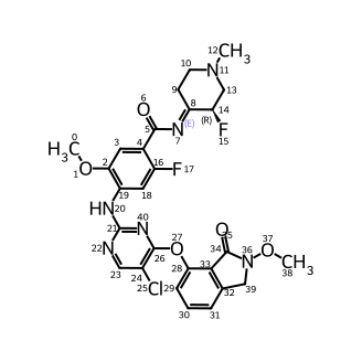 COc1cc(C(=O)/N=C2\CCN(C)C[C@H]2F)c(F)cc1Nc1ncc(Cl)c(Oc2cccc3c2C(=O)N(OC)C3)n1